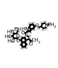 C[C@@H](Cl)[C@@H]1CN(C(=O)c2cc3cc(OCC4CCN(C)CC4)ccc3[nH]2)c2cc(O[C@@H]3OC(CO)[C@H](O)C(O)[C@@H]3O)c3ccccc3c21